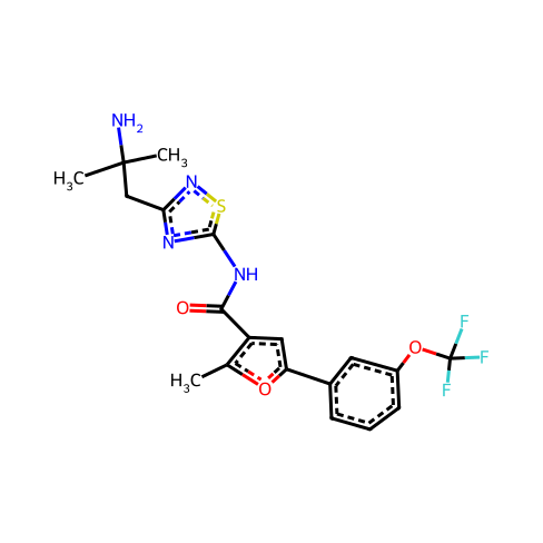 Cc1oc(-c2cccc(OC(F)(F)F)c2)cc1C(=O)Nc1nc(CC(C)(C)N)ns1